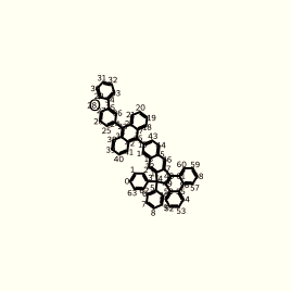 c1ccc(C2(c3ccccc3)c3cc4cc(-c5c6ccccc6c(-c6ccc7oc8ccccc8c7c6)c6ccccc56)ccc4cc3-c3c2c2ccccc2c2ccccc32)cc1